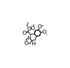 CCOC(=O)C1c2c(cc(OC)c(OC)c2OC)C[C@@H]2COCN12